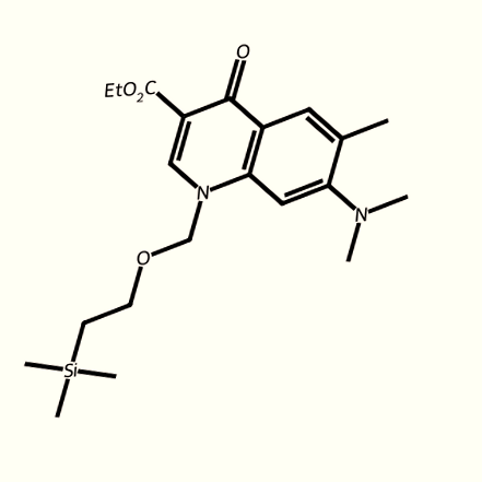 CCOC(=O)c1cn(COCC[Si](C)(C)C)c2cc(N(C)C)c(C)cc2c1=O